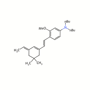 C/C=C1C=C(/C=C/c2ccc(N(CCCC)CCCC)cc2OC)CC(C)(C)C/1